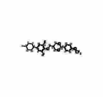 CC1CCC(c2cc(F)c(OCC3COC(c4ccc(OC(F)(F)F)cc4)OC3)c(F)c2)CC1